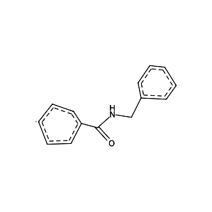 O=C(NCc1ccccc1)c1cc[c]cc1